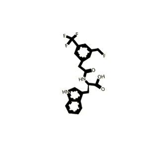 O=C(Cc1cc(CF)cc(C(F)(F)F)c1)N[C@H](Cc1c[nH]c2ccccc12)C(=O)O